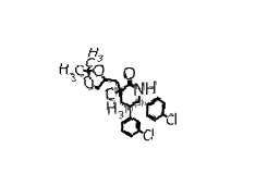 CC1(C)OCC(C[C@@]2(C)C[C@H](c3cccc(Cl)c3)[C@@H](c3ccc(Cl)cc3)NC2=O)O1